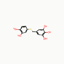 Oc1ccc(SCc2cc(O)c(O)c(O)c2)cc1O